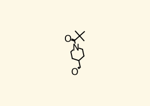 CC(C)(C)C(=O)N1CCC(C=O)CC1